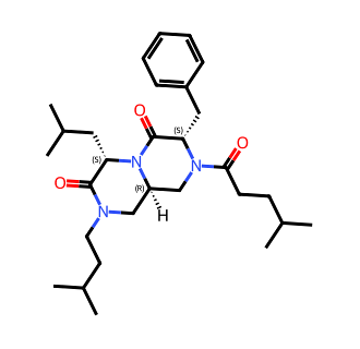 CC(C)CCC(=O)N1C[C@H]2CN(CCC(C)C)C(=O)[C@H](CC(C)C)N2C(=O)[C@@H]1Cc1ccccc1